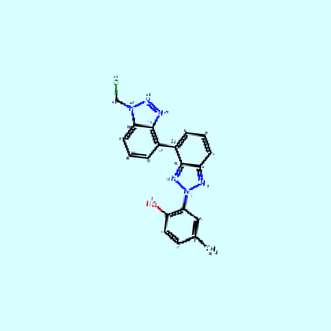 Cc1ccc(O)c(-n2nc3cccc(-c4cccc5c4nnn5CCl)c3n2)c1